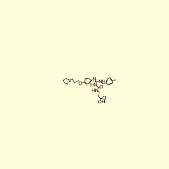 Cc1ccc(CN/C(=N/c2ccc(OCCCN3CCCC3)cc2)NC(=O)NCCC(=O)O)cc1